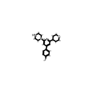 Fc1ccc(-c2cc(C3CCOCC3)nc(N3CCNCC3)c2)cc1